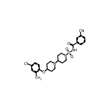 Cc1cc(Cl)ccc1OC1CCN(C2CCN(S(=O)(=O)NC(=O)c3cccc(C#N)c3)CC2)CC1